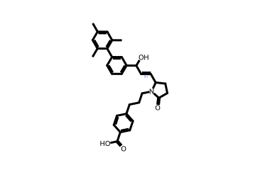 Cc1cc(C)c(-c2cccc(C(O)/C=C/C3CCC(=O)N3CCCc3ccc(C(=O)O)cc3)c2)c(C)c1